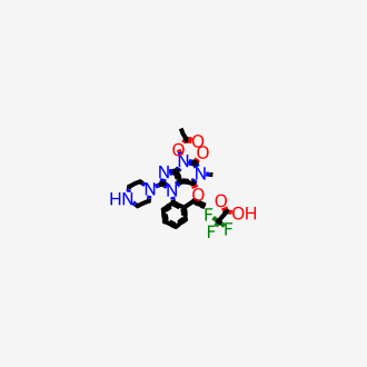 C=Cc1ccccc1-n1c(N2CCNCC2)nc2c1c(=O)n(C)c(=O)n2OC(C)=O.O=C(O)C(F)(F)F